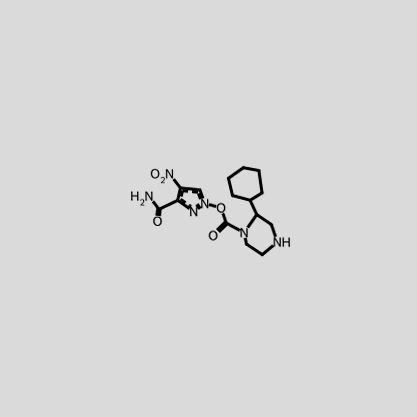 NC(=O)c1nn(OC(=O)N2CCNCC2C2CCCCC2)cc1[N+](=O)[O-]